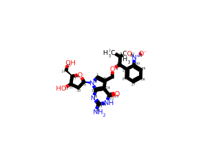 CC(C)C(OCc1cn([C@H]2CC(O)[C@@H](CO)O2)c2nc(N)[nH]c(=O)c12)c1ccccc1[N+](=O)[O-]